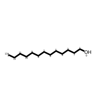 OCCCCCCCCCCCCI